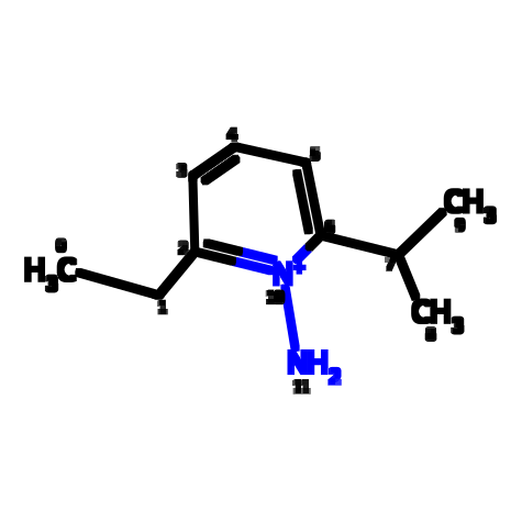 CCc1cccc(C(C)C)[n+]1N